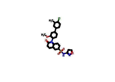 COc1cc(-c2ccc(Cl)c(C)c2)ccc1-n1c(=O)ccc2cc(S(=O)(=O)Nc3ccon3)ccc21